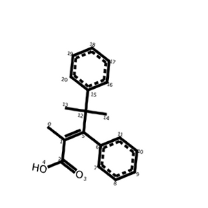 CC(C(=O)O)=C(c1ccccc1)C(C)(C)c1ccccc1